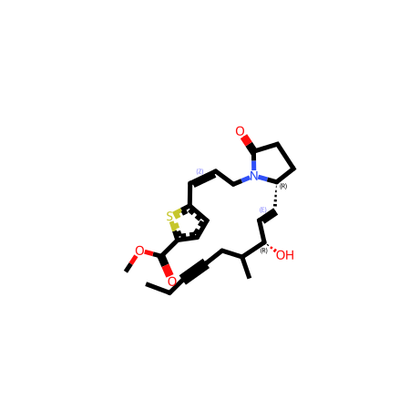 CCC#CCC(C)[C@@H](O)/C=C/[C@H]1CCC(=O)N1C/C=C\c1ccc(C(=O)OC)s1